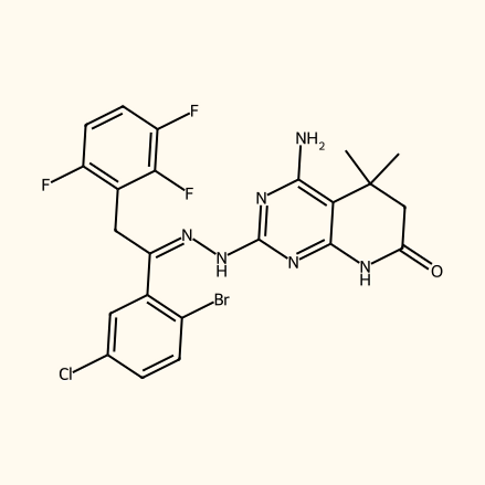 CC1(C)CC(=O)Nc2nc(N/N=C(/Cc3c(F)ccc(F)c3F)c3cc(Cl)ccc3Br)nc(N)c21